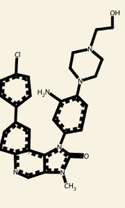 Cn1c(=O)n(-c2ccc(N3CCN(CCO)CC3)c(N)c2)c2c3cc(-c4ccc(Cl)cc4)ccc3ncc21